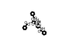 CC1(O)[C@H](OC(=O)c2ccccc2)[C@@H](COC(=O)c2ccccc2)O[C@H]1n1ccc(NC(=O)c2ccccc2)nc1=O